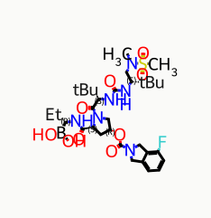 CC[C@H](NC(=O)[C@@H]1C[C@@H](OC(=O)N2Cc3cccc(F)c3C2)CN1C(=O)[C@@H](NC(=O)N[C@H](CN(C)S(C)(=O)=O)C(C)(C)C)C(C)(C)C)B(O)O